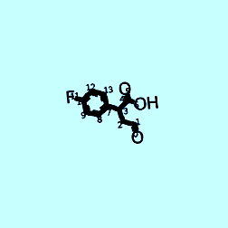 O=CCC(C(=O)O)c1ccc(F)cc1